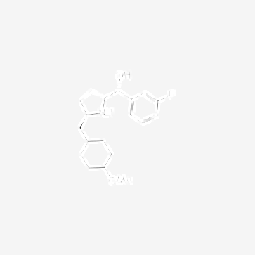 COC1CCC(C[C@H]2CC[C@H]([C@H](O)c3cccc(F)c3)N2)CC1